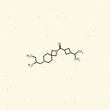 CCC(C)CN1CCC2(CC1)CN(C(=O)C1CN(C(C)C)C1)C2